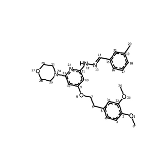 COc1ccc(CCOc2cc(N/N=C/c3cccc(C)c3)nc(N3CCOCC3)c2)cc1OC